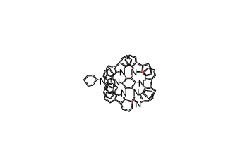 c1ccc(-n2c3ccccc3c3c2ccc2c4ccccc4n(-c4c(-n5c6ccccc6c6ccccc65)c(-n5c6ccccc6c6ccccc65)c(-n5cnc6ccccc65)c(-n5c6ccccc6c6ccccc65)c4-n4c5ccccc5c5ccccc54)c23)cc1